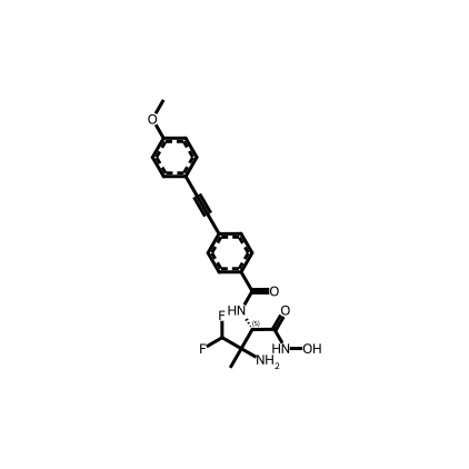 COc1ccc(C#Cc2ccc(C(=O)N[C@H](C(=O)NO)C(C)(N)C(F)F)cc2)cc1